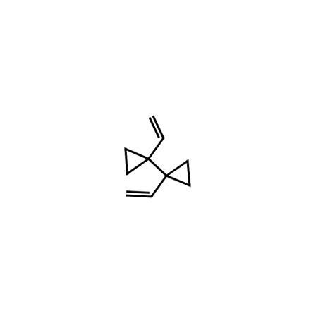 C=CC1(C2(C=C)CC2)CC1